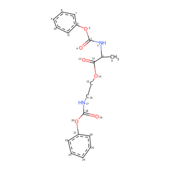 CC(NC(=O)Oc1ccccc1)C(=O)OCCNC(=O)Oc1ccccc1